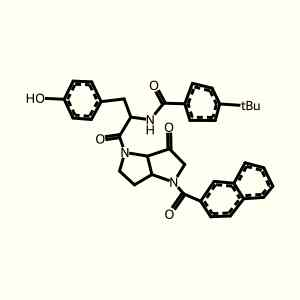 CC(C)(C)c1ccc(C(=O)NC(Cc2ccc(O)cc2)C(=O)N2CCC3C2C(=O)CN3C(=O)c2ccc3ccccc3c2)cc1